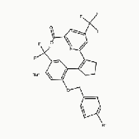 O=C([O-])c1cc(C(F)(F)F)cc(C2=C(c3cc(C(F)(F)F)ccc3OCc3ccc(Br)cc3)CCC2)n1.[Na+]